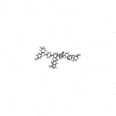 CC(=O)N1CCOC(CNc2ccc(S(=O)(=O)NC(=O)c3ccc(N4CCN(CC5=C(c6ccc(Cl)cc6)CC(C)(C)CC5)CC4)cc3Oc3cnc4[nH]ccc4c3)cc2[N+](=O)[O-])C1